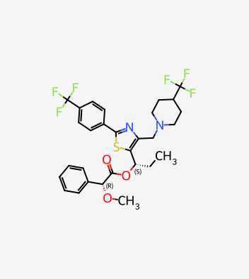 CC[C@H](OC(=O)[C@H](OC)c1ccccc1)c1sc(-c2ccc(C(F)(F)F)cc2)nc1CN1CCC(C(F)(F)F)CC1